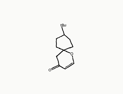 CC(C)(C)C1CCC2(CC1)CC(=O)C=CO2